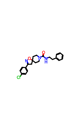 O=C(NCCc1ccccc1)N1CCC2(CC1)CC(c1ccc(Cl)cc1)=NO2